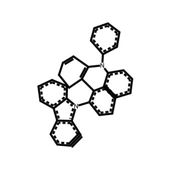 c1ccc2c3ccccc3n(-c3ccccc3C3=C(N(c4ccccc4)c4ccccc4)C=CCC3)c2c#1